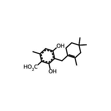 CC1=C(Cc2c(O)cc(C)c(C(=O)O)c2O)CCC(C)(C)C1